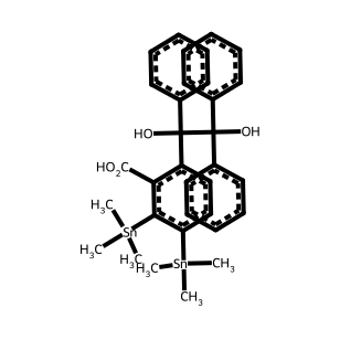 [CH3][Sn]([CH3])([CH3])[c]1ccc(C(O)(c2ccccc2)C(O)(c2ccccc2)c2ccccc2)c(C(=O)O)[c]1[Sn]([CH3])([CH3])[CH3]